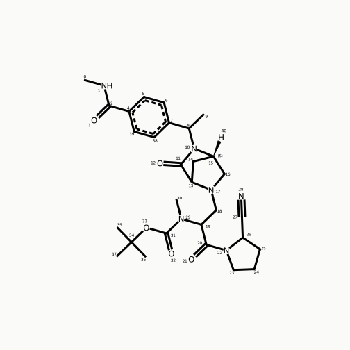 CNC(=O)c1ccc(C(C)N2C(=O)C3C[C@H]2CN3CC(C(=O)N2CCCC2C#N)N(C)C(=O)OC(C)(C)C)cc1